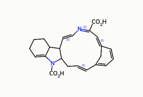 O=C(O)C1=N/C=C/C2C3CCCC=C3N(C(=O)O)C2C/C=C/C2=CC=C\C(=C\1)C2